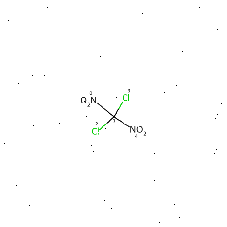 O=[N+]([O-])C(Cl)(Cl)[N+](=O)[O-]